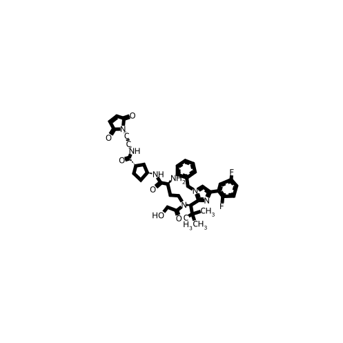 CC(C)(C)[C@H](c1nc(-c2cc(F)ccc2F)cn1Cc1ccccc1)N(CC[C@H](N)C(=O)N[C@@H]1CC[C@H](C(=O)NCCN2C(=O)C=CC2=O)C1)C(=O)CO